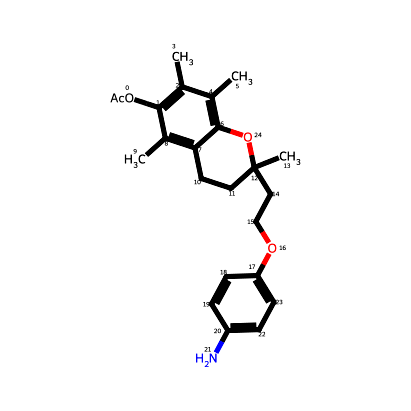 CC(=O)Oc1c(C)c(C)c2c(c1C)CCC(C)(CCOc1ccc(N)cc1)O2